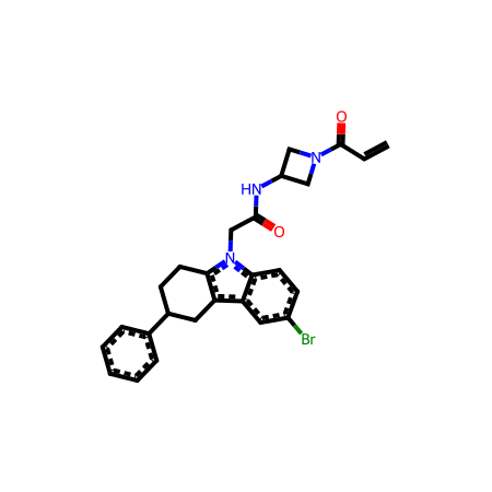 C=CC(=O)N1CC(NC(=O)Cn2c3c(c4cc(Br)ccc42)CC(c2ccccc2)CC3)C1